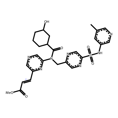 COC(=O)/C=C/c1cncc(N(Cc2cnc(S(=O)(=O)Nc3cncc(C)c3)cn2)C(=O)C2CCCC(O)C2)n1